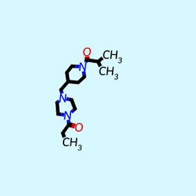 CCC(=O)N1CCN(CC2CCN(C(=O)C(C)C)CC2)CC1